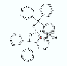 O=P(O)(O)OP(=O)(OC(c1ccccc1)(c1ccccc1)c1ccccc1)OC(c1ccccc1)(c1ccccc1)c1ccccc1